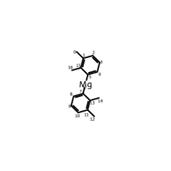 Cc1ccc[c]([Mg][c]2cccc(C)c2C)c1C